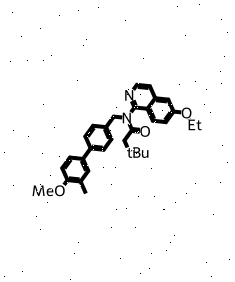 CCOc1ccc2c(N(Cc3ccc(-c4ccc(OC)c(C)c4)cc3)C(=O)CC(C)(C)C)nccc2c1